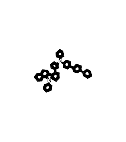 c1ccc(-c2ccc(-c3ccc(N(c4ccccc4)c4cccc(-c5cccc6c5c5ccc7ccccc7c5n6-c5ccccc5)c4)cc3)cc2)cc1